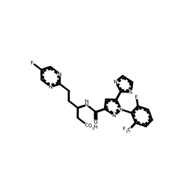 O=C(O)CC(CCc1ncc(F)cn1)NC(=O)c1cc(-c2nccs2)n(-c2c(F)cccc2C(F)(F)F)n1